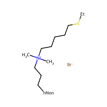 CCCCCCCCCCCC[N+](C)(C)CCCCCSCC.[Br-]